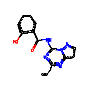 CCCCc1nc(NC(=O)c2ccccc2O)n2nccc2n1